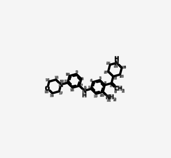 C=C(c1ccc(Nc2cccc(N3CCOCC3)c2)cc1N)C1CCNCC1